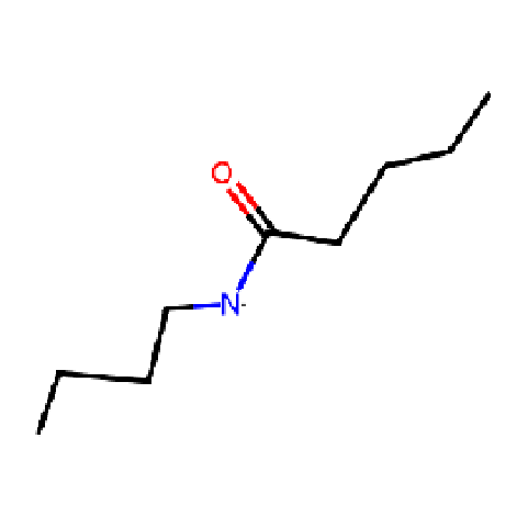 CCCC[N]C(=O)CCCC